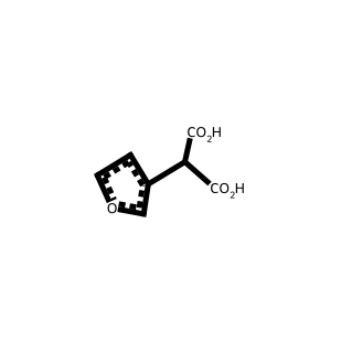 O=C(O)C(C(=O)O)c1ccoc1